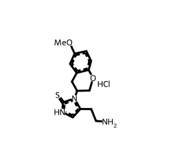 COc1ccc2c(c1)CC(n1c(CCN)c[nH]c1=S)CO2.Cl